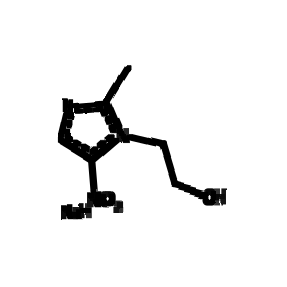 Cc1ncc([N+](=O)[O-])n1CCO.[NaH]